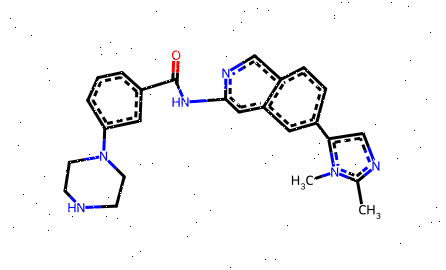 Cc1ncc(-c2ccc3cnc(NC(=O)c4cccc(N5CCNCC5)c4)cc3c2)n1C